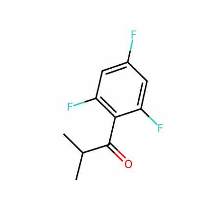 CC(C)C(=O)c1c(F)cc(F)cc1F